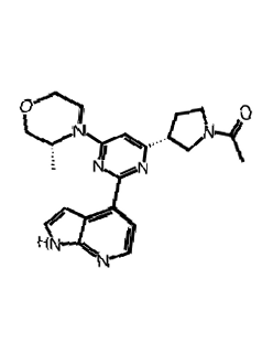 CC(=O)N1CC[C@@H](c2cc(N3CCOC[C@H]3C)nc(-c3ccnc4[nH]ccc34)n2)C1